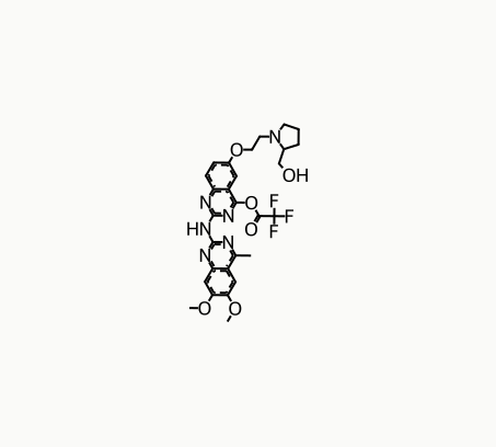 COc1cc2nc(Nc3nc(OC(=O)C(F)(F)F)c4cc(OCCN5CCCC5CO)ccc4n3)nc(C)c2cc1OC